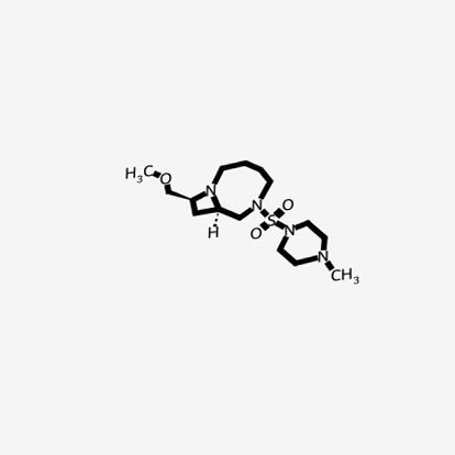 COC[C@@H]1C[C@@H]2CN(S(=O)(=O)N3CCN(C)CC3)CCCCN12